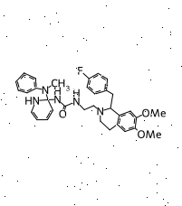 COc1cc2c(cc1OC)C(Cc1ccc(F)cc1)N(CCNC(=O)NC1(N(C)c3ccccc3)C=CC=CN1)CC2